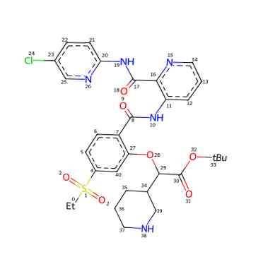 CCS(=O)(=O)c1ccc(C(=O)Nc2cccnc2C(=O)Nc2ccc(Cl)cn2)c(OC(C(=O)OC(C)(C)C)C2CCCNC2)c1